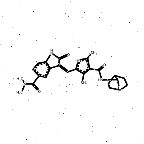 Cc1[nH]c(/C=C2\C(=O)Nc3ccc(C(=O)N(C)C)cc32)c(C)c1C(=O)NC1CN2CCC1CC2